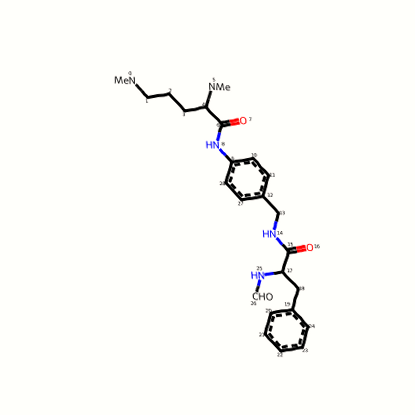 CNCCCC(NC)C(=O)Nc1ccc(CNC(=O)C(Cc2ccccc2)NC=O)cc1